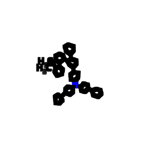 CC1(C)c2ccccc2-c2c(-c3cc(-c4ccc(N(c5ccc(-c6ccccc6)cc5)c5ccc(-c6ccccc6)cc5)cc4)ccc3-c3ccccc3)cccc21